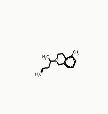 C=CCC(C)N1CCc2c(C)cccc2C1